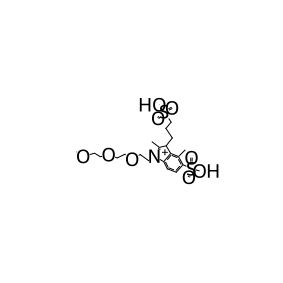 COCCOCCOCC[N+]1=C(C)C(CCCS(=O)(=O)O)c2c1ccc(S(=O)(=O)O)c2C